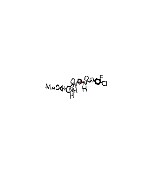 COC1CN(C2CCNC(C(=O)NC34CC(C3)C(NC(=O)COc3ccc(Cl)c(F)c3)C4)C2)C1